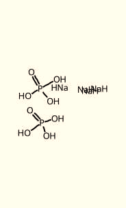 O=P(O)(O)O.O=P(O)(O)O.[NaH].[NaH].[NaH].[NaH]